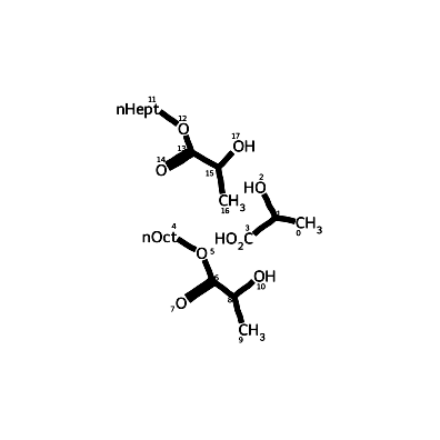 CC(O)C(=O)O.CCCCCCCCOC(=O)C(C)O.CCCCCCCOC(=O)C(C)O